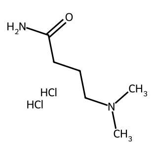 CN(C)CCCC(N)=O.Cl.Cl